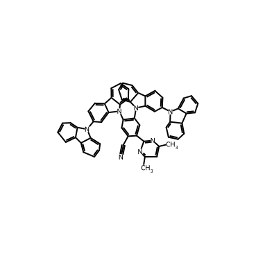 Cc1cc(C)nc(-c2cc(-n3c4ccccc4c4ccc(-n5c6ccccc6c6ccccc65)cc43)c(-n3c4ccccc4c4ccc(-n5c6ccccc6c6ccccc65)cc43)cc2C#N)n1